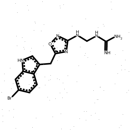 N=C(N)NCNc1noc(Cc2c[nH]c3cc(Br)ccc23)n1